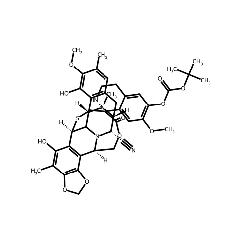 COc1cc2c(cc1OC(=O)OC(C)(C)C)CCN[C@]21CS[C@@H]2c3c(O)c(C)c4c(c3[C@H](COC1=O)N1C2[C@@H]2c3c(cc(C)c(OC)c3O)C[C@H]([C@@H]1C#N)N2C)OCO4